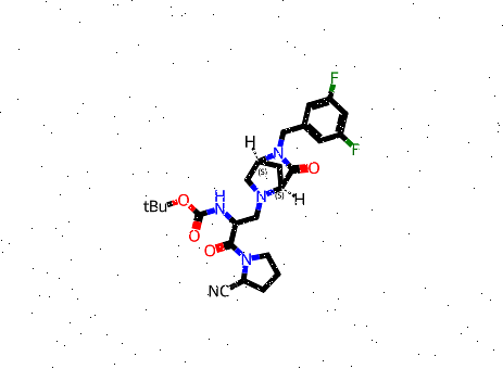 CC(C)(C)OC(=O)NC(CN1C[C@@H]2C[C@H]1C(=O)N2Cc1cc(F)cc(F)c1)C(=O)N1CCCC1C#N